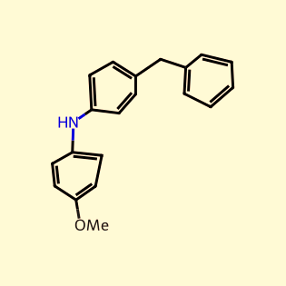 COc1ccc(Nc2ccc(Cc3ccccc3)cc2)cc1